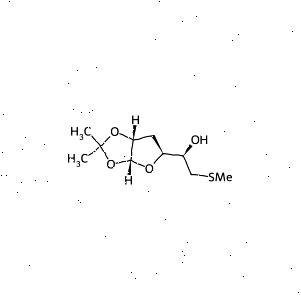 CSC[C@H](O)[C@@H]1C[C@H]2OC(C)(C)O[C@H]2O1